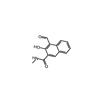 CNC(=O)c1cc2ccccc2c(C=O)c1O